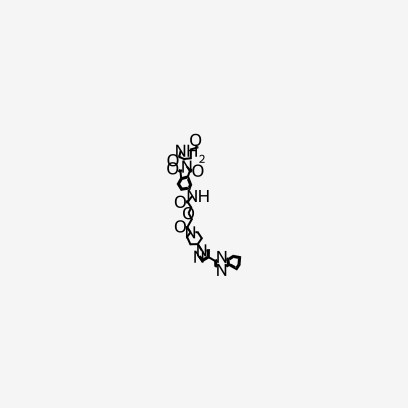 NC(=O)C(CCC=O)N1C(=O)c2ccc(NC(=O)COCC(=O)N3CCC(n4cc(-c5cnc6ccccc6n5)cn4)CC3)cc2C1=O